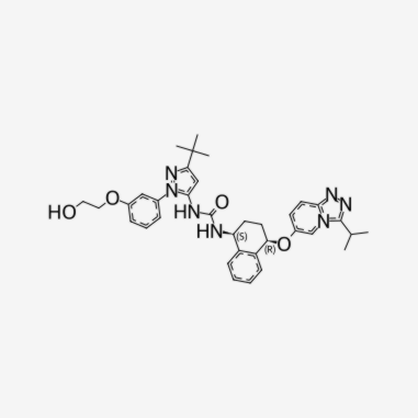 CC(C)c1nnc2ccc(O[C@@H]3CC[C@H](NC(=O)Nc4cc(C(C)(C)C)nn4-c4cccc(OCCO)c4)c4ccccc43)cn12